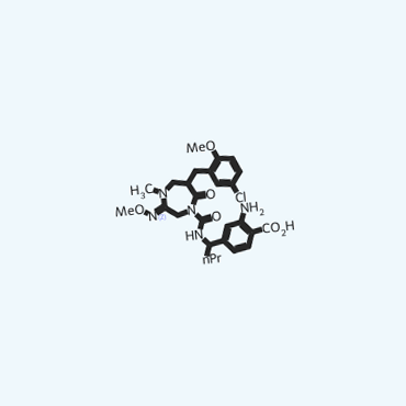 CCCC(NC(=O)N1C/C(=N/OC)N(C)CC(Cc2cc(Cl)ccc2OC)C1=O)c1ccc(C(=O)O)c(N)c1